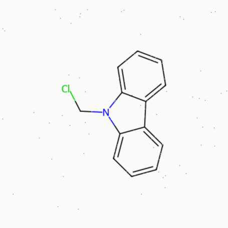 ClCn1c2ccccc2c2ccccc21